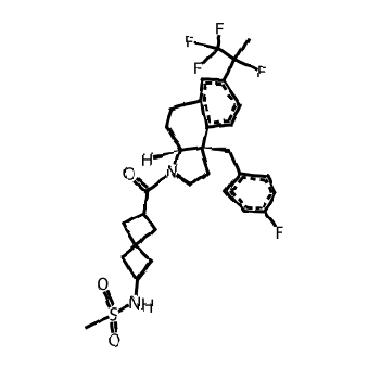 CC(F)(c1ccc2c(c1)CC[C@H]1N(C(=O)C3CC4(CC(NS(C)(=O)=O)C4)C3)CC[C@@]21Cc1ccc(F)cc1)C(F)(F)F